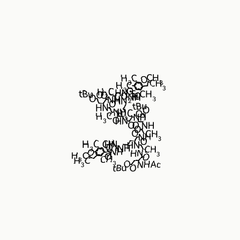 CC(=O)N[C@@H](CC(=O)OC(C)(C)C)C(=O)N[C@@H](C)C(=O)N[C@@H](CCCNC(=N)NS(=O)(=O)c1c(C)c(C)c2c(c1C)CC(C)(C)O2)C(=O)N[C@@H](C)C(=O)N[C@@H](CC(=O)OC(C)(C)C)C(=O)N[C@@H](C)C(=O)N[C@@H](CCCNC(=N)NS(=O)(=O)c1c(C)c(C)c2c(c1C)CC(C)(C)O2)C(=O)N[C@@H](C)C(=O)N[C@@H](CC(=O)OC(C)(C)C)C(=O)N[C@@H](C)C(=O)O